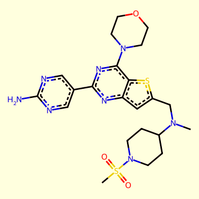 CN(Cc1cc2nc(-c3cnc(N)nc3)nc(N3CCOCC3)c2s1)C1CCN(S(C)(=O)=O)CC1